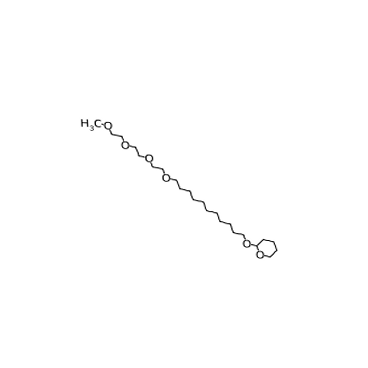 COCCOCCOCCOCCCCCCCCCCCOC1CCCCO1